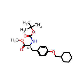 COC(=O)[C@H](Cc1ccc(OCC2CCCCC2)cc1)NC(=O)OC(C)(C)C